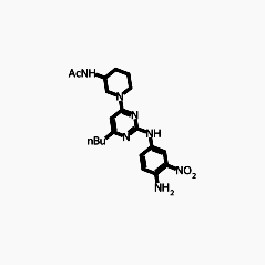 CCCCc1cc(N2CCCC(NC(C)=O)C2)nc(Nc2ccc(N)c([N+](=O)[O-])c2)n1